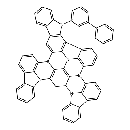 c1ccc(-c2cccc(-n3c4ccccc4c4cc5c6c(c7cccc8c7n6C6=C7B8c8cccc9c%10ccccc%10n(c89)C7CC7=C6B5c5cccc6c8ccccc8n7c56)c43)c2)cc1